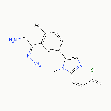 C=C(Cl)/C=C\c1ncc(-c2ccc(C(C)=O)c(/C(CN)=N\N)c2)n1C